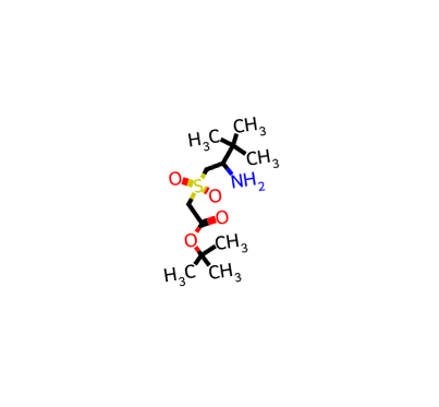 CC(C)(C)OC(=O)CS(=O)(=O)CC(N)C(C)(C)C